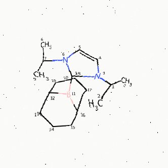 CC(C)N1C=CN(C(C)C)C1B1C2CCCC1CCC2